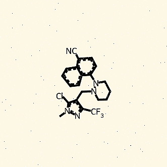 Cn1nc(C(F)(F)F)c(CN2CCCCN2c2ccc(C#N)c3ccccc23)c1Cl